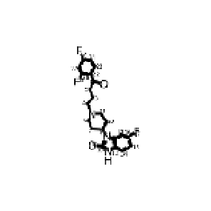 O=C(CCCN1CCC(n2c(=O)[nH]c3ccc(F)cc32)CC1)c1ccc(F)cc1F